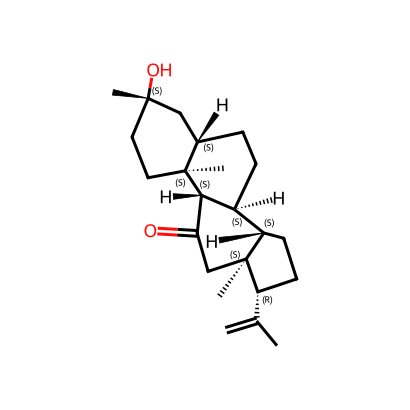 C=C(C)[C@H]1CC[C@H]2[C@@H]3CC[C@H]4C[C@@](C)(O)CC[C@]4(C)[C@H]3C(=O)C[C@]12C